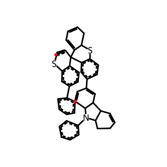 C1=CCC2Sc3ccc(C4=CC5C6C=CCCC6N(c6ccccc6)C5C=C4)cc3C3(C2=C1)c1ccccc1Sc1cc(-c2ccccc2)ccc13